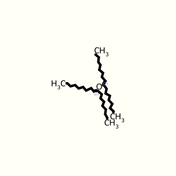 CCCCCCCC/C=C(/CCCCCCCC)O/C(=C\CCCCCCCC)CCCCCCCC